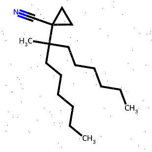 CCCCCCC(C)(CCCCCC)C1(C#N)CC1